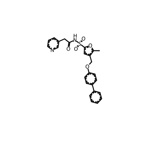 Cc1oc(S(=O)(=O)NC(=O)Cc2cccnc2)cc1COc1ccc(-c2ccccc2)cc1